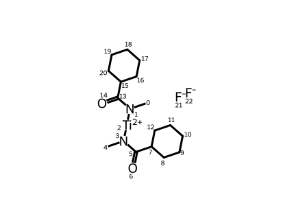 C[N]([Ti+2][N](C)C(=O)C1CCCCC1)C(=O)C1CCCCC1.[F-].[F-]